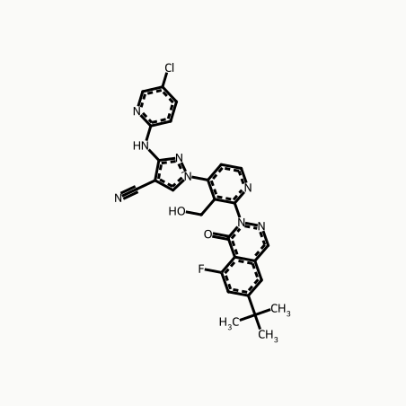 CC(C)(C)c1cc(F)c2c(=O)n(-c3nccc(-n4cc(C#N)c(Nc5ccc(Cl)cn5)n4)c3CO)ncc2c1